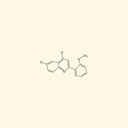 COc1ccccc1-c1cc(Cl)c2cc(Cl)ccc2n1